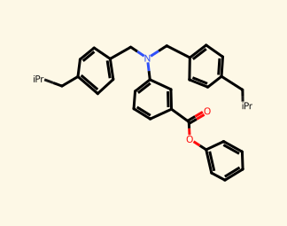 CC(C)Cc1ccc(CN(Cc2ccc(CC(C)C)cc2)c2cccc(C(=O)Oc3ccccc3)c2)cc1